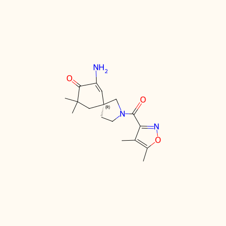 Cc1onc(C(=O)N2CC[C@]3(C=C(N)C(=O)C(C)(C)C3)C2)c1C